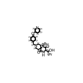 CCCCN1C(=O)C(C(O)C(C)C)NC(=O)C12CCN(Cc1ccc(Oc3cccnc3)cc1)CC2